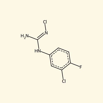 NC(=NCl)Nc1ccc(F)c(Cl)c1